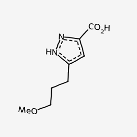 COCCCc1cc(C(=O)O)n[nH]1